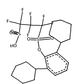 O=S(=O)(O)C(F)(F)C(F)(F)C(F)(F)S(=O)(=O)Oc1c(C2CCCCC2)cccc1C1CCCCC1